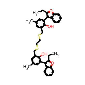 CCc1oc2ccccc2c1-c1cc(C)cc(CSCCSCc2cc(C)cc(-c3c(CC)oc4ccccc34)c2O)c1O